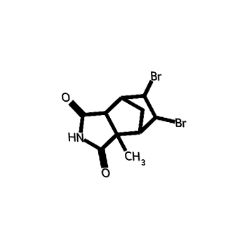 CC12C(=O)NC(=O)C1C1CC2C(Br)C1Br